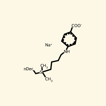 CCCCCCCCCCC[Si](C)(C)CCCCNc1ccc(C(=O)[O-])cc1.[Na+]